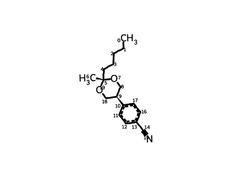 CCCCC[C@]1(C)OC[C@@H](c2ccc(C#N)cc2)CO1